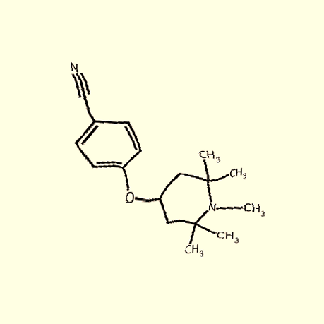 CN1C(C)(C)CC(Oc2ccc(C#N)cc2)CC1(C)C